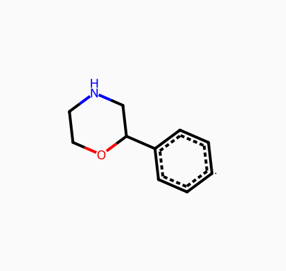 [c]1ccc(C2CNCCO2)cc1